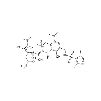 Cc1noc(C)c1S(=O)(=O)NCc1cc(N(C)C)c2c(c1O)C(=O)C1=C(O)[C@](O)(C(=O)C(C)C(N)=O)[C@H]([C@@H](CO)N(C)C)C[C@@H]1C2